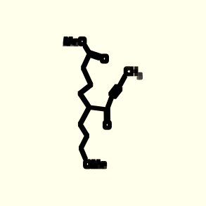 CC#CC(=O)C(CCCOC)CCCC(=O)OC